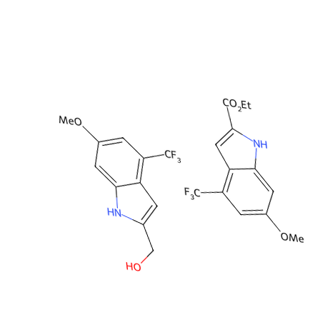 CCOC(=O)c1cc2c(C(F)(F)F)cc(OC)cc2[nH]1.COc1cc(C(F)(F)F)c2cc(CO)[nH]c2c1